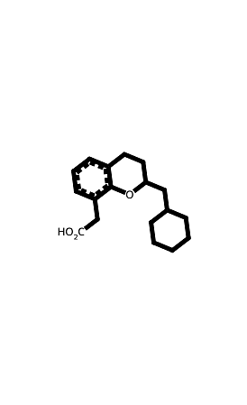 O=C(O)Cc1cccc2c1OC(CC1CCCCC1)CC2